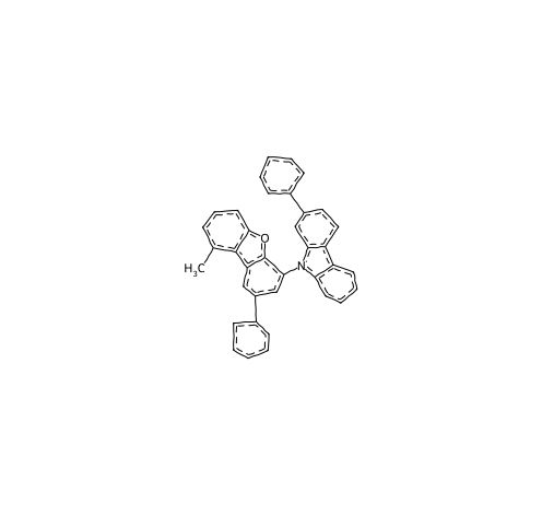 Cc1cccc2oc3c(-n4c5ccccc5c5ccc(-c6ccccc6)cc54)cc(-c4ccccc4)cc3c12